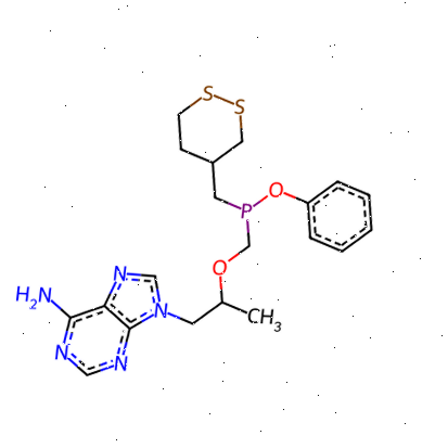 CC(Cn1cnc2c(N)ncnc21)OCP(CC1CCSSC1)Oc1ccccc1